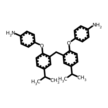 CC(C)c1ccc(Oc2ccc(N)cc2)c(Cc2cc(C(C)C)ccc2Oc2ccc(N)cc2)c1